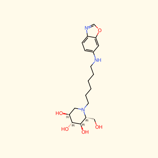 OC[C@@H]1[C@@H](O)[C@H](O)[C@@H](O)CN1CCCCCCNc1ccc2ncoc2c1